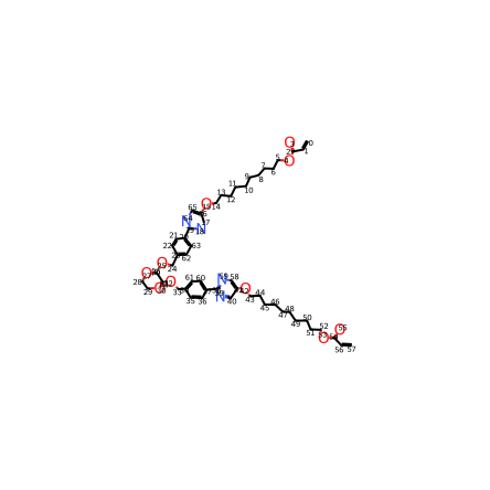 C=CC(=O)OCCCCCCCCCCOc1cnc(-c2ccc(CO[C@H]3OCCO[C@@H]3OCc3ccc(-c4ncc(OCCCCCCCCCCOC(=O)C=C)cn4)cc3)cc2)nc1